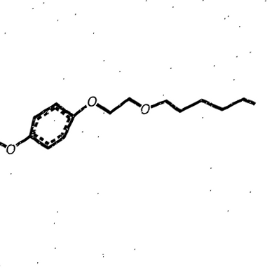 CCCCCCOCCOc1ccc(OC)cc1